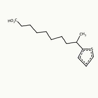 CC(CCCCCCCC(=O)O)c1cccs1